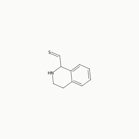 S=CC1NCCc2ccccc21